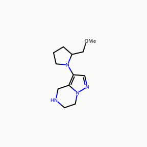 COCC1CCCN1c1cnn2c1CNCC2